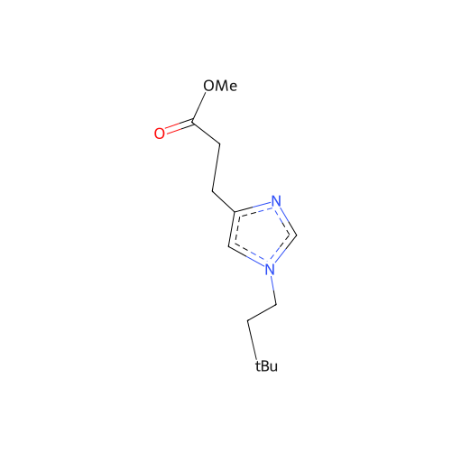 COC(=O)CCc1cn(CCC(C)(C)C)cn1